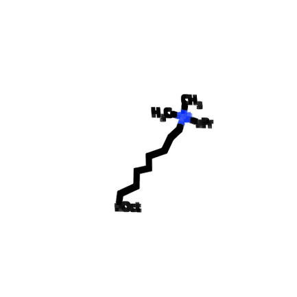 CCCCCCCCCCCCCCCC[N+](C)(C)CCC